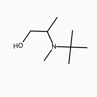 CC(CO)N(C)C(C)(C)C